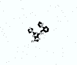 CC(C)n1cnc2c(NCc3ccccc3-n3cccn3)nc(N3CCSC3)nc21